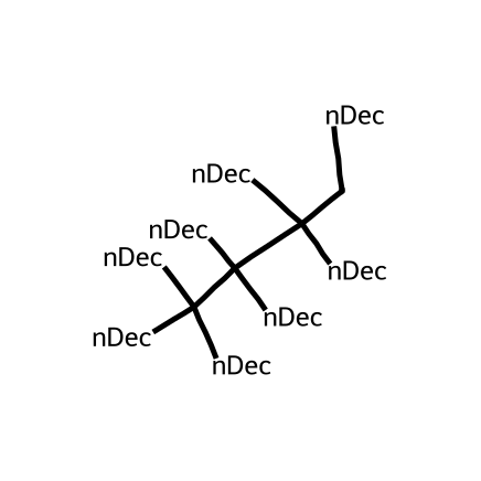 CCCCCCCCCCCC(CCCCCCCCCC)(CCCCCCCCCC)C(CCCCCCCCCC)(CCCCCCCCCC)C(CCCCCCCCCC)(CCCCCCCCCC)CCCCCCCCCC